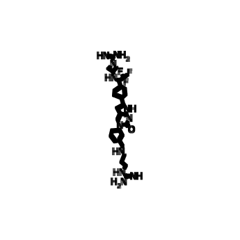 N=C(N)NCCCNCc1cccc(-n2cc3cc(-c4ccc(C(NC5CN(C(=N)N)C5)C(F)(F)F)cc4)[nH]c3nc2=O)c1